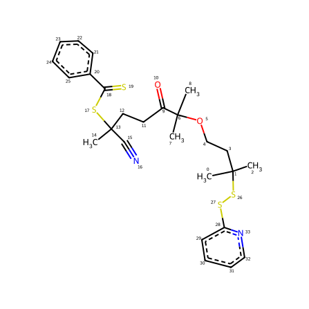 CC(C)(CCOC(C)(C)C(=O)CCC(C)(C#N)SC(=S)c1ccccc1)SSc1ccccn1